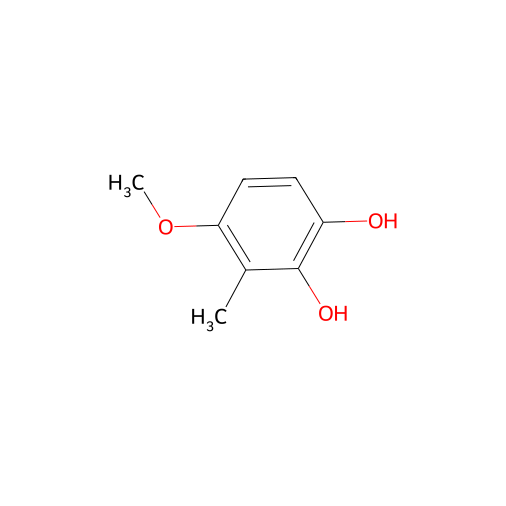 COc1ccc(O)c(O)c1C